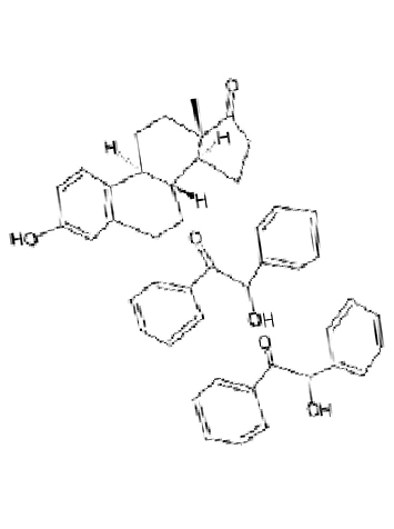 C[C@]12CC[C@@H]3c4ccc(O)cc4CC[C@H]3[C@@H]1CCC2=O.O=C(c1ccccc1)C(O)c1ccccc1.O=C(c1ccccc1)C(O)c1ccccc1